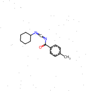 Cc1ccc(C(=O)N=C=NC2CCCCC2)cc1